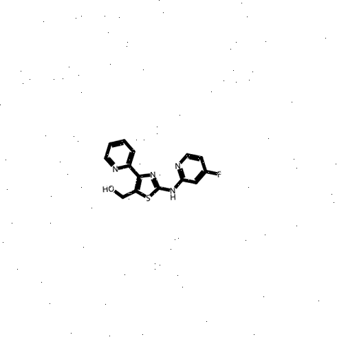 OCc1sc(Nc2cc(F)ccn2)nc1-c1ccccn1